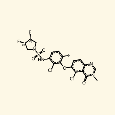 Cn1cnc2ccc(Oc3c(F)ccc(NS(=O)(=O)N4C[C@@H](F)[C@@H](F)C4)c3Cl)c(Cl)c2c1=O